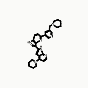 c1cc(N2CCCCC2)c2cc(-c3n[nH]c4ccc(-c5cncc(CN6CCCCC6)c5)nc34)[nH]c2n1